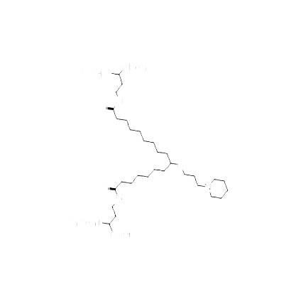 CCCCCC(CCCCC)CCOC(=O)CCCCCCCCC(CCCCCCC(=O)OCCC(CCCCC)CCCCC)OCCCN1CCCCC1